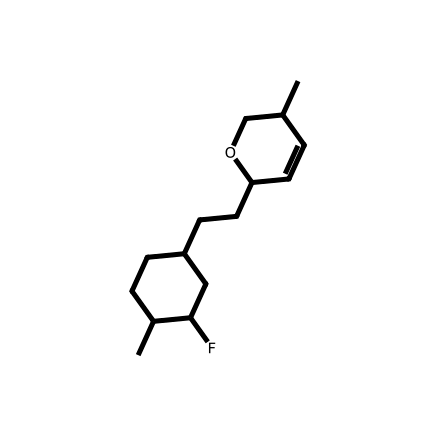 CC1C=CC(CCC2CCC(C)C(F)C2)OC1